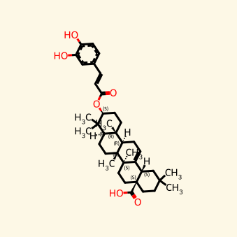 CC1(C)CC[C@]2(C(=O)O)CC[C@]3(C)C(=CC[C@@H]4[C@@]5(C)CC[C@H](OC(=O)C=Cc6ccc(O)c(O)c6)C(C)(C)[C@@H]5CC[C@]43C)[C@@H]2C1